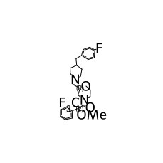 CO[C@@](C(=O)N1CCO[C@H](CN2CCC(Cc3ccc(F)cc3)CC2)C1)(c1ccccc1)C(F)(F)F